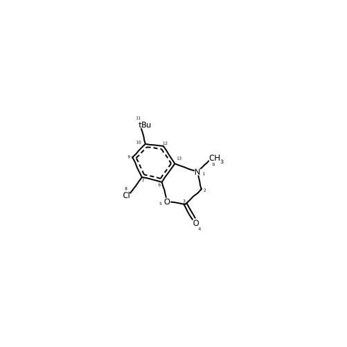 CN1CC(=O)Oc2c(Cl)cc(C(C)(C)C)cc21